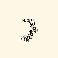 [2H]C([2H])([2H])n1cnc2cc(Oc3ccc(Nc4ncnc5ccc(N6CC/C(=C\CN(C)C)C6=O)nc45)cc3C)ccc21